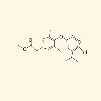 COC(=O)Cc1cc(C)c(Oc2cc(C(C)C)c(Cl)nn2)c(C)c1